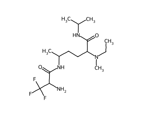 CCN(C)C(CCC(C)NC(=O)C(N)C(F)(F)F)C(=O)NC(C)C